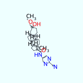 CCOC[C@@]1(O)CC[C@H]2[C@H](CC[C@@H]3[C@@H]2CC[C@]2(C)[C@@H](C(=O)Nc4cnc(C#N)nc4)CC[C@@H]32)C1